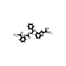 N=C(N)c1cc2c(OC(COC(=O)Nc3ccccc3C(N)=O)c3ccccc3)cccc2s1